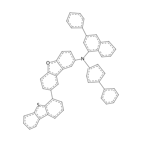 c1ccc(-c2ccc(N(c3ccc4oc5ccc(-c6cccc7c6sc6ccccc67)cc5c4c3)c3cc(-c4ccccc4)cc4ccccc34)cc2)cc1